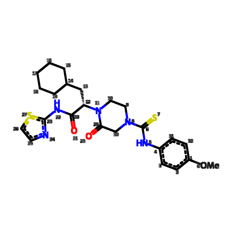 COc1ccc(NC(=S)N2CCN([C@@H](CC3CCCCC3)C(=O)Nc3nccs3)C(=O)C2)cc1